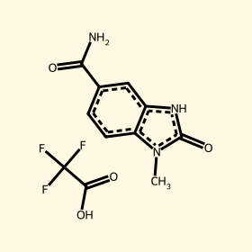 Cn1c(=O)[nH]c2cc(C(N)=O)ccc21.O=C(O)C(F)(F)F